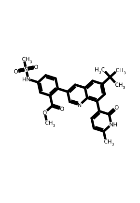 COC(=O)c1cc(NS(C)(=O)=O)ccc1-c1cnc2c(-c3ccc(C)[nH]c3=O)cc(C(C)(C)C)cc2c1